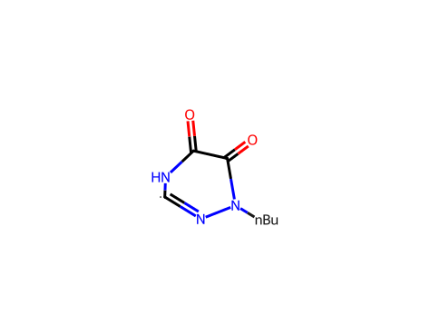 CCCCn1n[c][nH]c(=O)c1=O